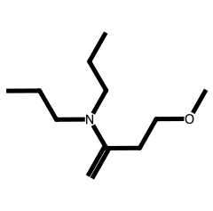 C=C(CCOC)N(CCC)CCC